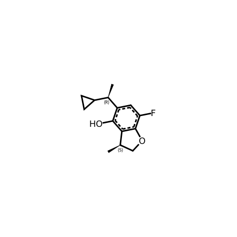 C[C@@H]1COc2c(F)cc([C@H](C)C3CC3)c(O)c21